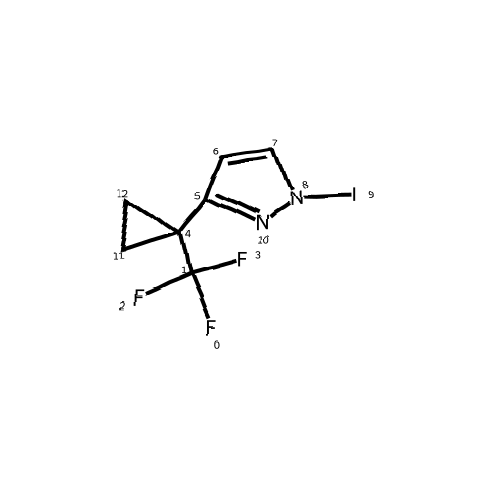 FC(F)(F)C1(c2ccn(I)n2)CC1